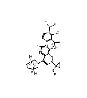 Cc1nc(N[C@H](C)c2cccc(C(F)F)c2F)c2c(n1)C(N1C[C@H]3CC[C@@H](C1)O3)=CN(C1(CF)CC1)C2